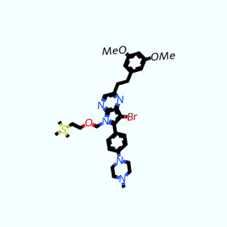 COc1cc(CCc2cnc3c(n2)c(Br)c(-c2ccc(N4CCN(C)CC4)cc2)n3COCCS(C)(C)C)cc(OC)c1